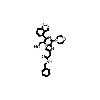 O=C(Cc1cn2c(CO)c(-c3cccc4[nH]ncc34)nc(N3CCOCC3)c2n1)NCc1ccccc1